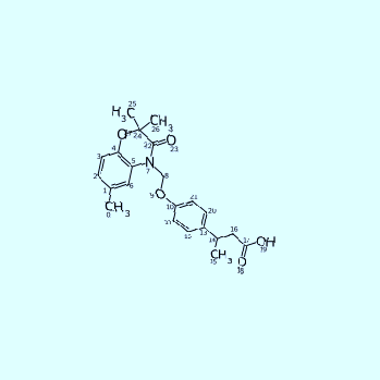 Cc1ccc2c(c1)N(COc1ccc(C(C)CC(=O)O)cc1)C(=O)C(C)(C)O2